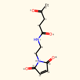 CCC(=O)CCC(=O)NCCN1C(=O)C=CC1=O